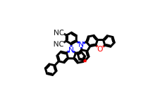 N#Cc1ccc(-n2c3ccccc3c3c4oc5ccccc5c4ccc32)c(-n2c3ccccc3c3cc(-c4ccccc4)ccc32)c1C#N